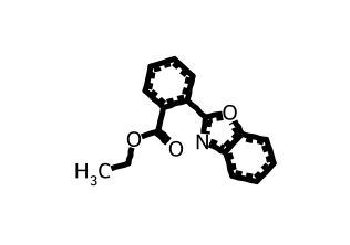 CCOC(=O)c1ccccc1-c1nc2ccccc2o1